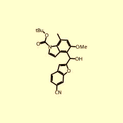 COc1cc(C)c2c(ccn2C(=O)OC(C)(C)C)c1C(O)c1cc2ccc(C#N)cc2o1